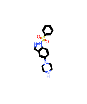 O=S(=O)(c1ccccc1)n1ncc2cc(N3CCNCC3)ccc21